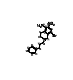 Nc1c([N+](=O)[O-])cc(Br)c2c1CCN(CCCc1ccccc1)C2